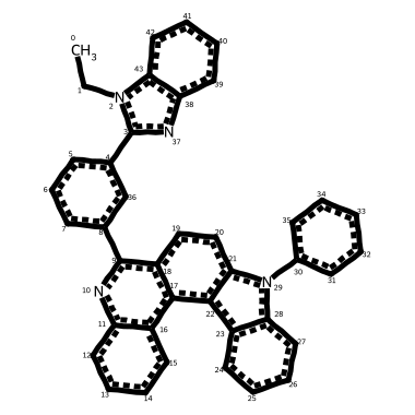 CCn1c(-c2cccc(-c3nc4ccccc4c4c3ccc3c4c4ccccc4n3-c3ccccc3)c2)nc2ccccc21